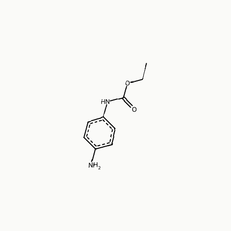 CCOC(=O)Nc1ccc(N)cc1